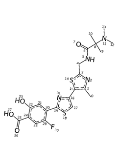 Cc1nc(CNC(=O)C(C)(C)N(C)C)sc1-c1csc(-c2cc(O)c(C(=O)O)cc2F)n1